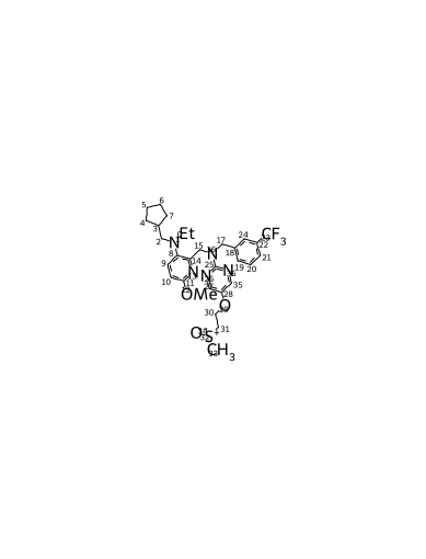 CCN(CC1CCCC1)c1ccc(OC)nc1CN(Cc1cccc(C(F)(F)F)c1)c1ncc(OCC[S+](C)[O-])cn1